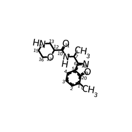 Cc1cccc2c(C(C)NC(=O)C3CNCCO3)noc12